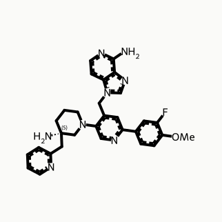 COc1ccc(-c2cc(Cn3cnc4c(N)nccc43)c(N3CCC[C@](N)(Cc4ccccn4)C3)cn2)cc1F